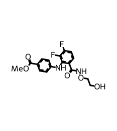 COC(=O)c1ccc(Nc2c(C(=O)NOCCO)ccc(F)c2F)cc1